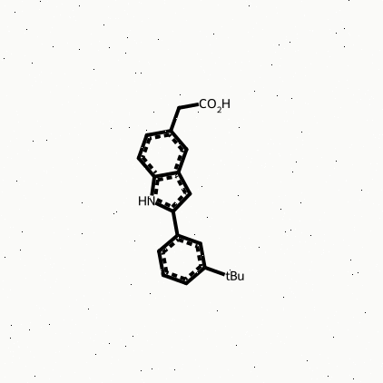 CC(C)(C)c1cccc(-c2cc3cc(CC(=O)O)ccc3[nH]2)c1